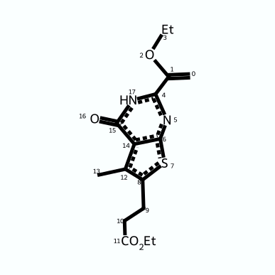 C=C(OCC)c1nc2sc(CCC(=O)OCC)c(C)c2c(=O)[nH]1